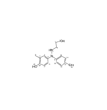 Cc1cc(N(NCCO)c2ccc(O)cc2)ccc1O